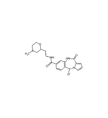 CN1CCOC(CCNC(=O)c2ccc3c(c2)NC(=O)c2cccn2[S+]3[O-])C1